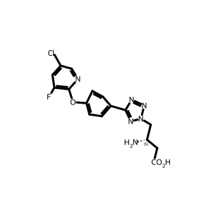 N[C@@H](CC(=O)O)Cn1nnc(-c2ccc(Oc3ncc(Cl)cc3F)cc2)n1